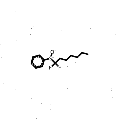 CCCCCCC(F)(F)[S+]([O-])c1ccccc1